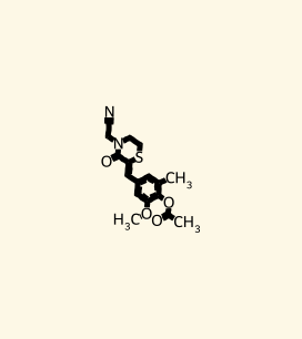 COc1cc(C=C2SCCN(CC#N)C2=O)cc(C)c1OC(C)=O